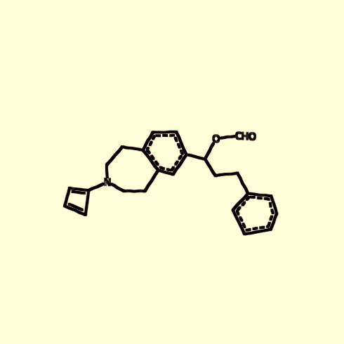 O=COC(CCc1ccccc1)c1ccc2c(c1)CCN(C1=CC=C1)CC2